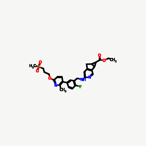 CCOC(=O)C1C2Cc3cc(NCc4cc(-c5ccc(OCCCS(C)(=O)=O)nc5C)ccc4F)ncc3C21